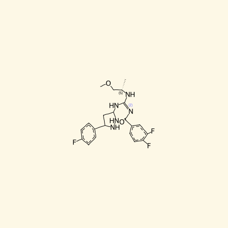 COC[C@H](C)N/C(=N/C(=O)c1ccc(F)c(F)c1)NC1CC(c2ccc(F)cc2)NN1